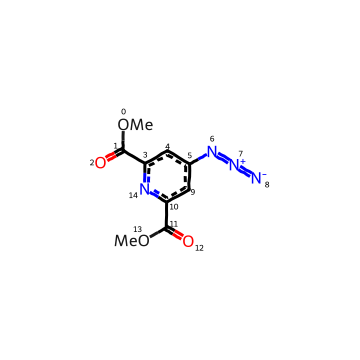 COC(=O)c1cc(N=[N+]=[N-])cc(C(=O)OC)n1